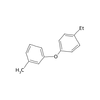 CCc1ccc(Oc2cccc(C)c2)cc1